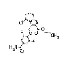 CCCOC(=O)c1sc2cccc(Cl)c2c1COc1c(F)cc(C(N)=O)cc1F